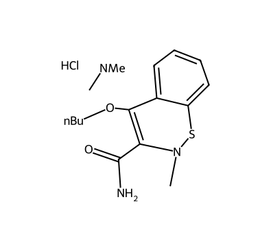 CCCCOC1=C(C(N)=O)N(C)Sc2ccccc21.CNC.Cl